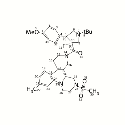 COc1ccc([C@@H]2CN(C(C)(C)C)C[C@@]2(F)C(=O)N2CCC(c3ccc(C)cc3N3CCN(S(C)(=O)=O)CC3)CC2)cc1